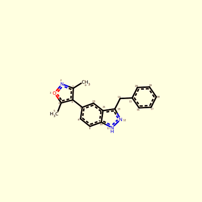 Cc1noc(C)c1-c1ccc2[nH]nc(Cc3ccccc3)c2c1